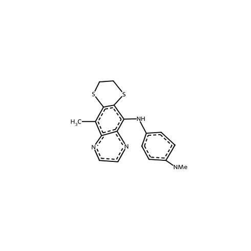 CNc1ccc(Nc2c3c(c(C)c4nccnc24)SCCS3)cc1